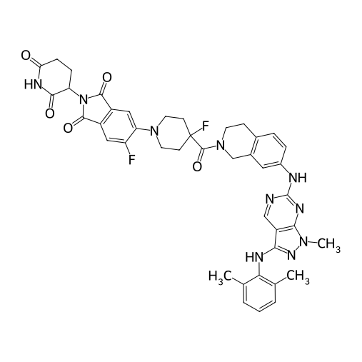 Cc1cccc(C)c1Nc1nn(C)c2nc(Nc3ccc4c(c3)CN(C(=O)C3(F)CCN(c5cc6c(cc5F)C(=O)N(C5CCC(=O)NC5=O)C6=O)CC3)CC4)ncc12